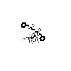 C[C@H](N)C(=O)N[C@H](CCC(=O)OCc1ccccc1)C(=O)OCc1ccccc1.Cl